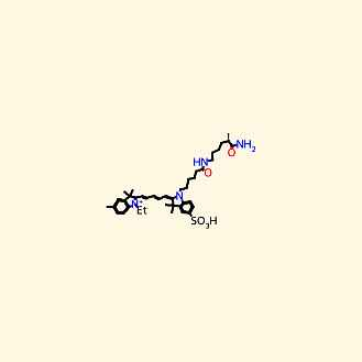 CC[N+]1=C(/C=C/C=C/C=C2/N(CCCCCC(=O)NCCCC[C@@H](C)C(N)=O)c3ccc(S(=O)(=O)O)cc3C2(C)C)C(C)(C)c2cc(C)ccc21